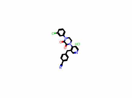 Cl.N#Cc1ccc(Cc2cnccc2N2CCN(c3cccc(Cl)c3)C(=O)C2=O)cc1